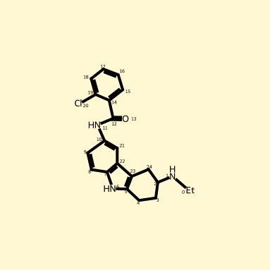 CCNC1CCc2[nH]c3ccc(NC(=O)c4ccccc4Cl)cc3c2C1